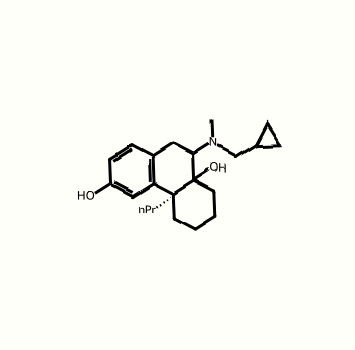 CCC[C@@]12CCCCC1(O)C(N(C)CC1CC1)Cc1ccc(O)cc12